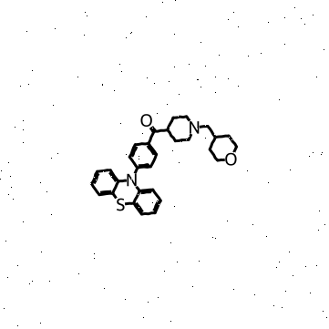 O=C(c1ccc(N2c3ccccc3Sc3ccccc32)cc1)C1CCN(CC2CCOCC2)CC1